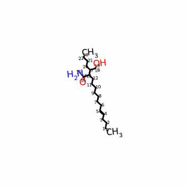 CCCCC=CCCCCCCCC(C(N)=O)C(CO)CCCC